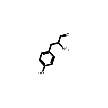 NC([C]=O)Cc1ccc(O)cc1